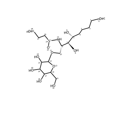 CCCCCCCCCCCCCC[C@@H](O)[C@@H](O)[C@H](COC1OC(CO)C(O)C(O)C1O)N[S+]([O-])CCCCCCCCCCCC